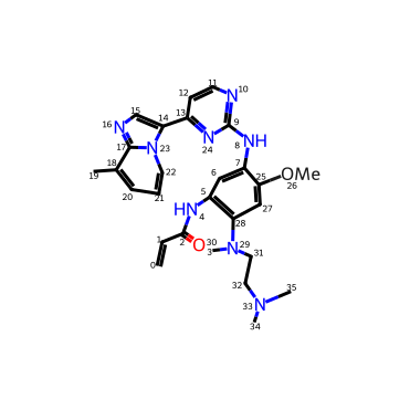 C=CC(=O)Nc1cc(Nc2nccc(-c3cnc4c(C)cccn34)n2)c(OC)cc1N(C)CCN(C)C